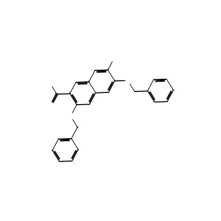 O=C(O)c1cc2cc(Br)c(OCc3ccccc3)cc2cc1OCc1ccccc1